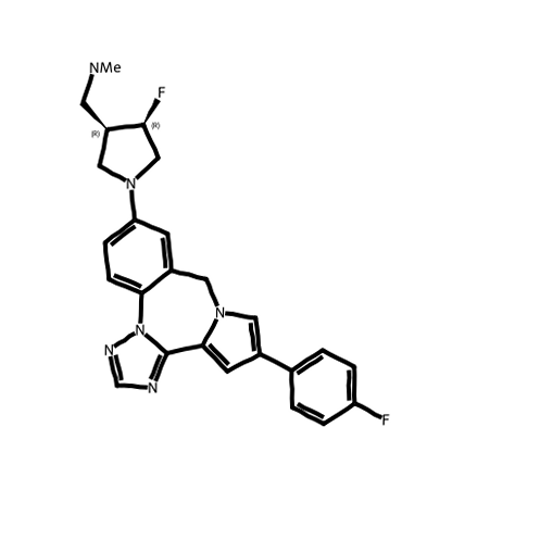 CNC[C@@H]1CN(c2ccc3c(c2)Cn2cc(-c4ccc(F)cc4)cc2-c2ncnn2-3)C[C@@H]1F